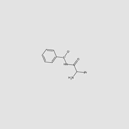 CC(C)C(N)C(=O)N[S+]([O-])c1ccccc1